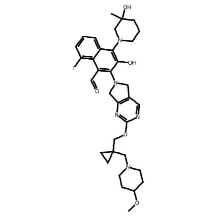 COC1CCN(CC2(COc3ncc4c(n3)CN(c3c(O)c(N5CCCC(C)(O)C5)c5cccc(I)c5c3C=O)C4)CC2)CC1